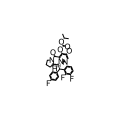 CC(C)OC(=O)Oc1c2n(ncc1=O)[C@@H](C(c1ccc(F)cc1)c1cccc(F)c1F)[C@H]1CCCN1C2=O